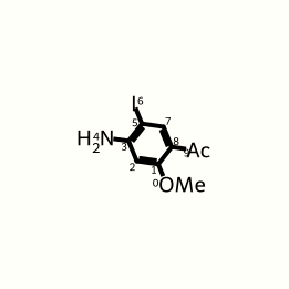 COc1cc(N)c(I)cc1C(C)=O